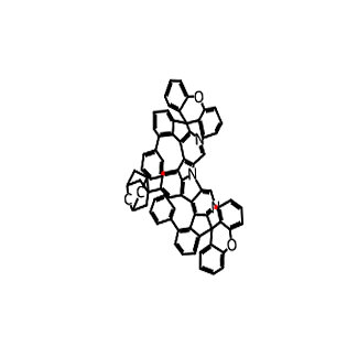 c1ccc(-c2cccc3c2-c2c(ncc4c2c2cc(C56CC7CC(CC5C7)C6)cc5c6c7c(ncc6n4c25)C2(c4ccccc4Oc4ccccc42)c2cccc(-c4ccccc4)c2-7)C32c3ccccc3Oc3ccccc32)cc1